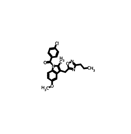 CCCc1noc(Cc2c(C)n(C(=O)c3ccc(Cl)cc3)c3ccc(OC)cc23)n1